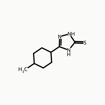 CC1CCC(c2n[nH]c(=S)[nH]2)CC1